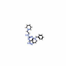 c1ccc(CN2CCc3n[nH]c4nc(NCCN5CCCCC5)nc2c34)cc1